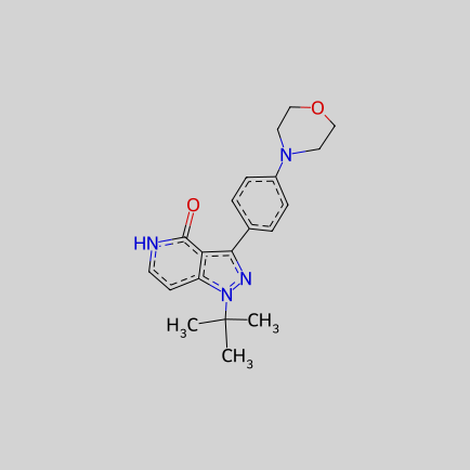 CC(C)(C)n1nc(-c2ccc(N3CCOCC3)cc2)c2c(=O)[nH]ccc21